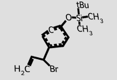 C=CC(Br)c1ccc(O[Si](C)(C)C(C)(C)C)cc1